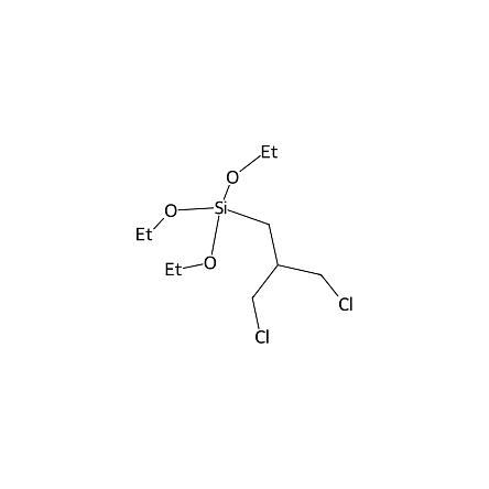 CCO[Si](CC(CCl)CCl)(OCC)OCC